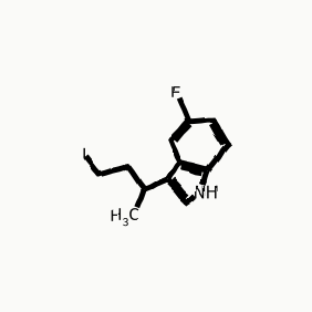 CC(CCI)c1c[nH]c2ccc(F)cc12